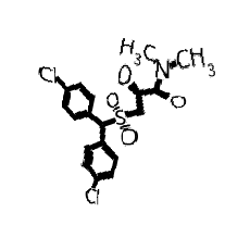 CN(C)C(=O)C(=O)CS(=O)(=O)C(c1ccc(Cl)cc1)c1ccc(Cl)cc1